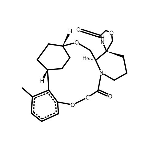 Cc1cccc2c1[C@H]1CC[C@H](CC1)OC[C@@H]1N(CCC[C@@]13COCC(=O)N3)C(=O)CO2